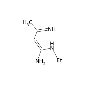 CCN/C(N)=C\C(C)=N